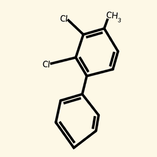 Cc1ccc(-c2ccccc2)c(Cl)c1Cl